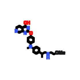 COCCNCC(C)c1ccc(N(C)c2ccc(Oc3nc(O)c4ccncc4n3)cc2)cc1